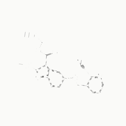 CCOC(=O)c1c(C)oc2ccc(OCc3cccnc3C#N)cc12